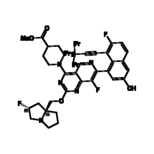 COC(=O)C1CCN(c2nc(OC[C@@]34CCCN3C[C@H](F)C4)nc3c(F)c(-c4cc(O)cc5ccc(F)c(C#C[Si](C(C)C)(C(C)C)C(C)C)c45)ncc23)CC1